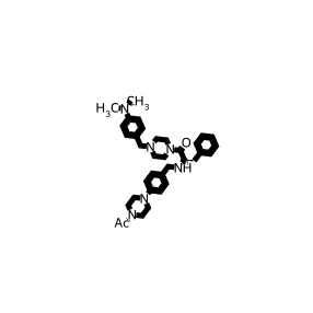 CC(=O)N1CCN(c2ccc(CN[C@@H](Cc3ccccc3)C(=O)N3CCN(Cc4ccc(N(C)C)cc4)CC3)cc2)CC1